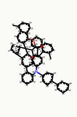 Cc1cccc2c1C=CC1C2Oc2c(ccc3c(C)cccc23)C12c1ccccc1-c1cc(-c3ccccc3N(c3ccc(-c4ccccc4)cc3)c3ccc(-c4ccccc4)cc3)ccc12